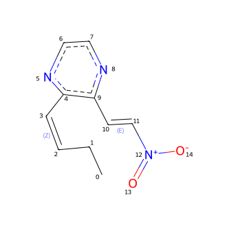 CC/C=C\c1nccnc1/C=C/[N+](=O)[O-]